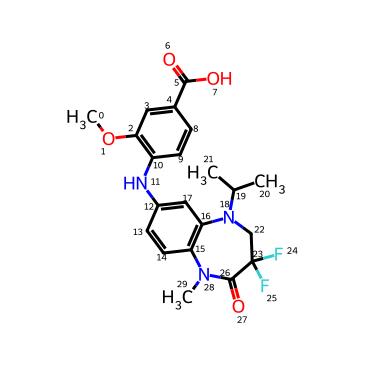 COc1cc(C(=O)O)ccc1Nc1ccc2c(c1)N(C(C)C)CC(F)(F)C(=O)N2C